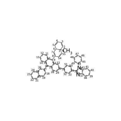 CC12C=CC=CC1C=C(c1c3ccccc3c(-c3ccc4ccccc4c3)c3ccc(-c4ccc(-c5nc6ccccc6n5-c5ccccc5)cc4)cc13)C=C2